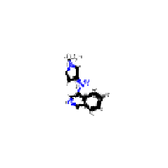 O=C(O)N1CCC(Nc2cncc3ccccc23)C1